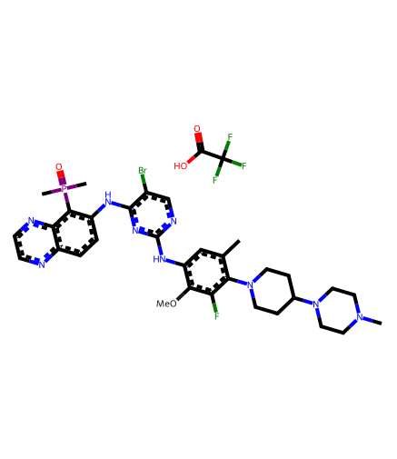 COc1c(Nc2ncc(Br)c(Nc3ccc4nccnc4c3P(C)(C)=O)n2)cc(C)c(N2CCC(N3CCN(C)CC3)CC2)c1F.O=C(O)C(F)(F)F